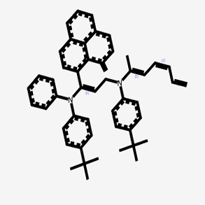 C=C/C=C\C=C(/C)N(C/C=C(\c1ccc2cccc3ccc(=C)c1c23)N(c1ccccc1)c1ccc(C(C)(C)C)cc1)c1ccc(C(C)(C)C)cc1